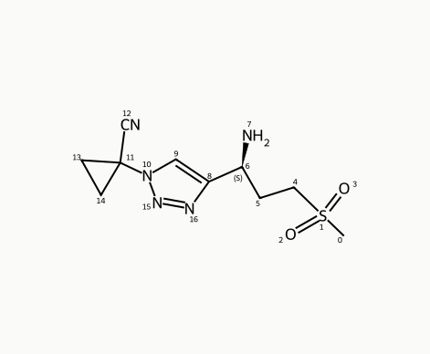 CS(=O)(=O)CC[C@H](N)c1cn(C2(C#N)CC2)nn1